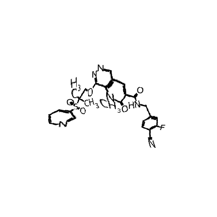 Cn1c(=O)c(C(=O)NCc2ccc(C#N)c(F)c2)cc2cnnc(OCC(C)(C)S(=O)(=O)c3cccnc3)c21